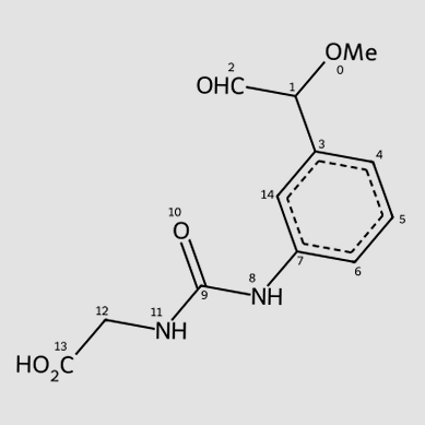 COC(C=O)c1cccc(NC(=O)NCC(=O)O)c1